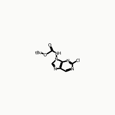 CC(C)(C)OC(=O)Nn1cnc2cnc(Cl)nc21